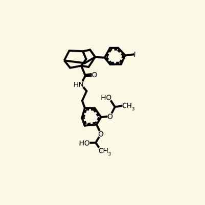 CC(O)Oc1ccc(CCNC(=O)C23CC4CC(C2)CC(c2ccc(I)cc2)(C4)C3)cc1OC(C)O